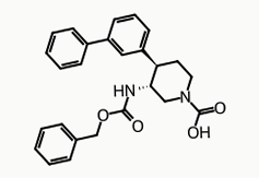 O=C(N[C@H]1CN(C(=O)O)CC[C@@H]1c1cccc(-c2ccccc2)c1)OCc1ccccc1